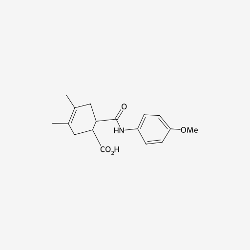 COc1ccc(NC(=O)C2CC(C)=C(C)CC2C(=O)O)cc1